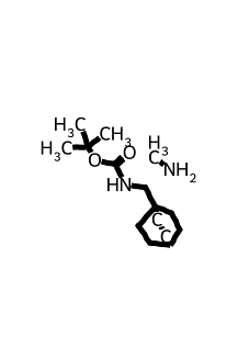 CC(C)(C)OC(=O)NCC12CCC(CC1)CC2.CN